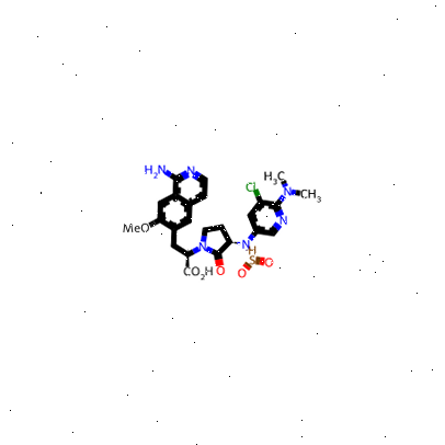 COc1cc2c(N)nccc2cc1C[C@H](C(=O)O)N1CC[C@H](N(c2cnc(N(C)C)c(Cl)c2)[SH](=O)=O)C1=O